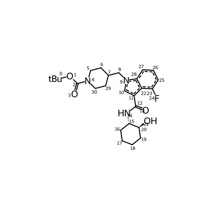 CC(C)(C)OC(=O)N1CCC(Cn2cc(C(=O)N[C@H]3CCCC[C@@H]3O)c3c(F)cccc32)CC1